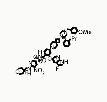 COc1ccc(CN2CCN(C3CC4(CCN(c5ccc(C(=O)NS(=O)(=O)c6cnc(NCC7(F)CCOCC7)c([N+](=O)[O-])c6)c(Oc6cnc7[nH]cc(F)c7c6)c5)CC4)C3)[C@H](c3ccccc3C(C)C)C2)cc1